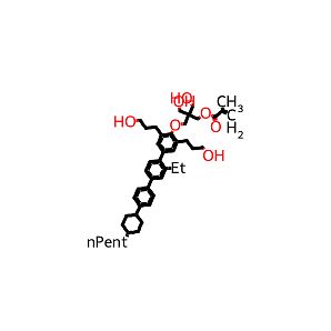 C=C(C)C(=O)OCC(CO)(CO)COc1c(CCCO)cc(-c2ccc(-c3ccc(C4CCC(CCCCC)CC4)cc3)cc2CC)cc1CCCO